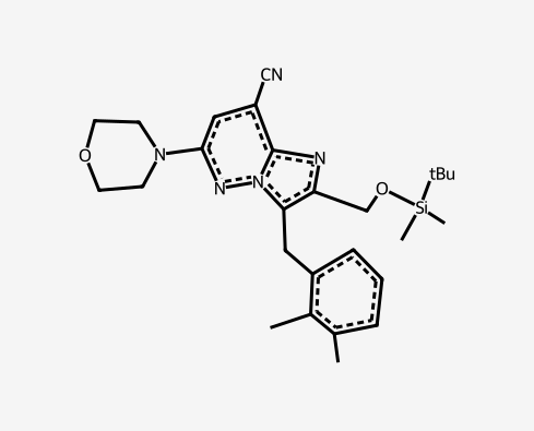 Cc1cccc(Cc2c(CO[Si](C)(C)C(C)(C)C)nc3c(C#N)cc(N4CCOCC4)nn23)c1C